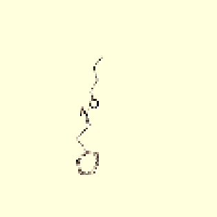 CCCCON=CCc1ccccc1